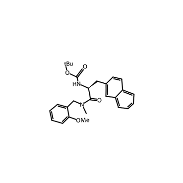 COc1ccccc1CN(C)C(=O)[C@H](Cc1ccc2ccccc2c1)NC(=O)OC(C)(C)C